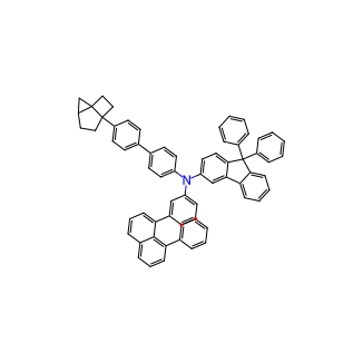 c1ccc(-c2cccc3cccc(-c4cccc(N(c5ccc(-c6ccc(C78CCC9CC97CC8)cc6)cc5)c5ccc6c(c5)-c5ccccc5C6(c5ccccc5)c5ccccc5)c4)c23)cc1